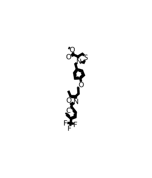 COC(=O)C1CSCN1Cc1ccc(OCCc2nc(-c3ccc(C(F)(F)F)cc3)oc2C)cc1